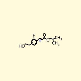 CC(C)COC(=O)/C=C/c1ccc(CCO)cc1F